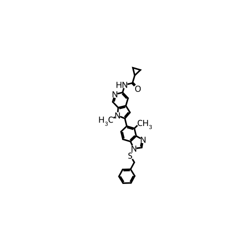 Cc1c(-c2cc3cc(NC(=O)C4CC4)ncc3n2C)ccc2c1ncn2SCc1ccccc1